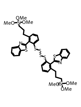 CO[Si](CCCc1cccc(SSSSc2cccc(CCC[Si](OC)(OC)OC)c2-c2nc3ccccc3s2)c1-c1nc2ccccc2s1)(OC)OC